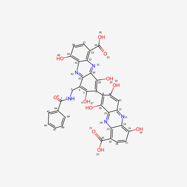 O=C(NCc1c(O)c(-c2c(O)cc3nc4c(O)ccc(C(=O)O)c4nc3c2O)c(O)c2nc3c(C(=O)O)ccc(O)c3nc12)c1ccccc1